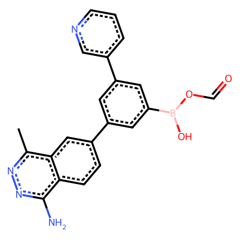 Cc1nnc(N)c2ccc(-c3cc(B(O)OC=O)cc(-c4cccnc4)c3)cc12